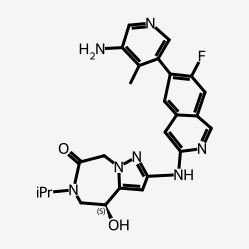 Cc1c(N)cncc1-c1cc2cc(Nc3cc4n(n3)CC(=O)N(C(C)C)C[C@@H]4O)ncc2cc1F